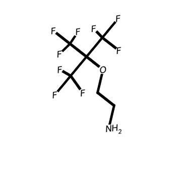 NCCOC(C(F)(F)F)(C(F)(F)F)C(F)(F)F